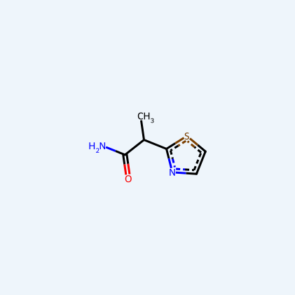 CC(C(N)=O)c1nccs1